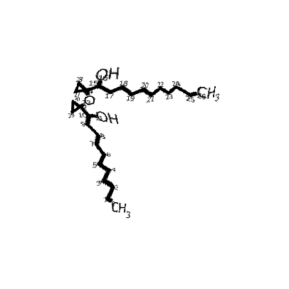 CCCCCCCCCCC(O)C1(OC2(C(O)CCCCCCCCCC)CC2)CC1